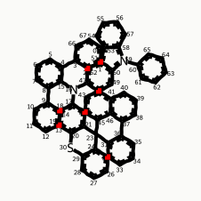 c1ccc(-c2cccc(-c3ccccc3)c2N(c2ccc3c(c2)C2(c4ccccc4S3)c3ccccc3-c3cccc4cccc2c34)c2ccc3c(c2)c2ccccc2n3-c2ccccc2)cc1